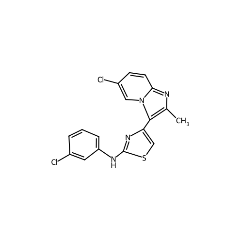 Cc1nc2ccc(Cl)cn2c1-c1csc(Nc2cccc(Cl)c2)n1